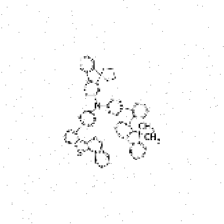 CC1(C)c2ccccc2-c2cccc(-c3ccccc3-c3ccc(N(c4ccc(-c5cccc6sc7c8ccccc8ccc7c56)cc4)c4ccc5c(c4)C4(CCCC4)c4ccccc4-5)cc3)c21